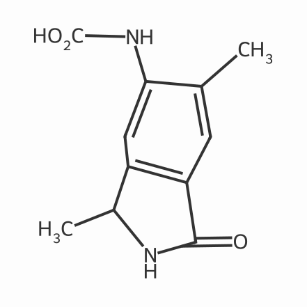 Cc1cc2c(cc1NC(=O)O)C(C)NC2=O